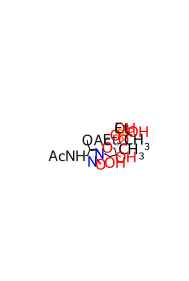 CCC(C)(OP(=O)(O)[C@@](C)(O)CC)[C@H]1O[C@@H](n2cc(COC(C)=O)c(NC(C)=O)nc2=O)[C@H](O)[C@@H]1O